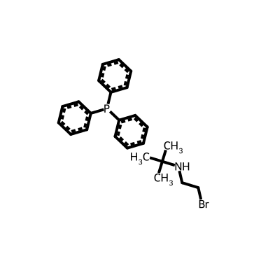 CC(C)(C)NCCBr.c1ccc(P(c2ccccc2)c2ccccc2)cc1